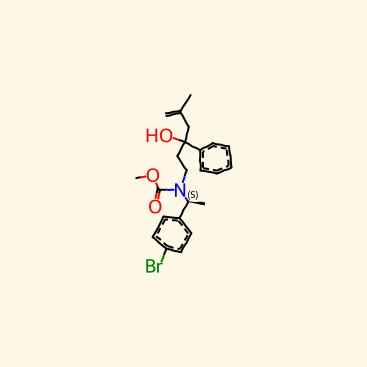 C=C(C)CC(O)(CCN(C(=O)OC)[C@@H](C)c1ccc(Br)cc1)c1ccccc1